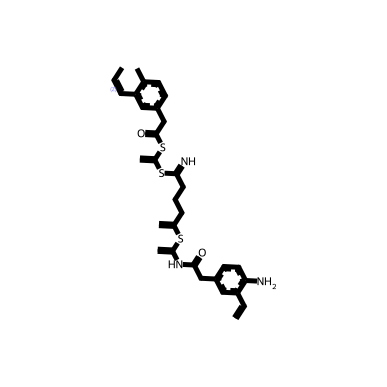 C=Cc1cc(CC(=O)NC(=C)SC(=C)CCCC(=N)SC(=C)SC(=O)Cc2ccc(C)c(/C=C\C)c2)ccc1N